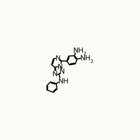 Nc1ccc(-c2nccc3nc(Nc4ccccc4)nn23)cc1N